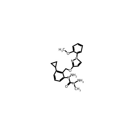 COc1ccccc1-n1ccc(OCc2c(C3CC3)cccc2N(N)C(=O)N(C)N)n1